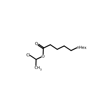 CCCCCCCCCCC(=O)OC(C)Cl